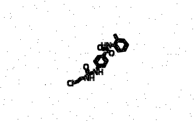 Cc1ccccc1NS(=O)(=O)c1ccc(NC(=O)NCCCl)cc1